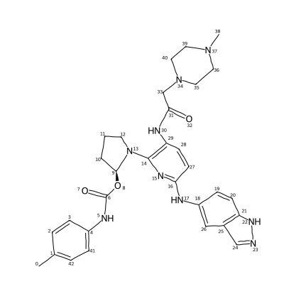 Cc1ccc(NC(=O)O[C@H]2CCCN2c2nc(Nc3ccc4[nH]ncc4c3)ccc2NC(=O)CN2CCN(C)CC2)cc1